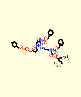 C=C/C(=C\C=C/C)COC(=O)[C@H](CCCC/N=c1\nc(NC(=O)OCc2ccccc2)ccn1[C@H]1CC[C@@H](COPOCc2ccccc2)O1)NC(=O)OCc1ccccc1